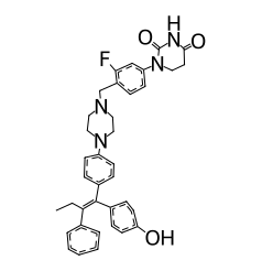 CCC(=C(c1ccc(O)cc1)c1ccc(N2CCN(Cc3ccc(N4CCC(=O)NC4=O)cc3F)CC2)cc1)c1ccccc1